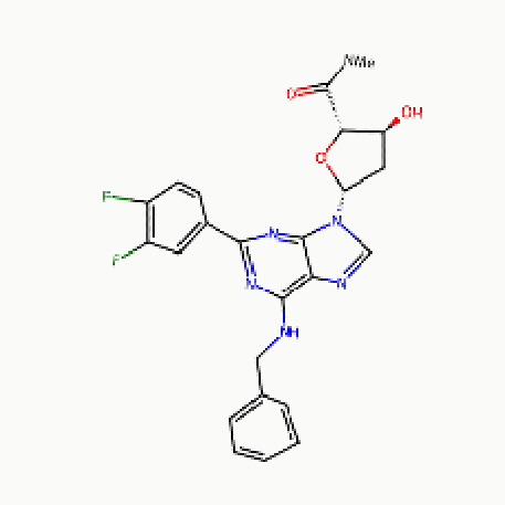 CNC(=O)[C@H]1O[C@@H](n2cnc3c(NCc4ccccc4)nc(-c4ccc(F)c(F)c4)nc32)C[C@@H]1O